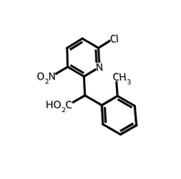 Cc1ccccc1C(C(=O)O)c1nc(Cl)ccc1[N+](=O)[O-]